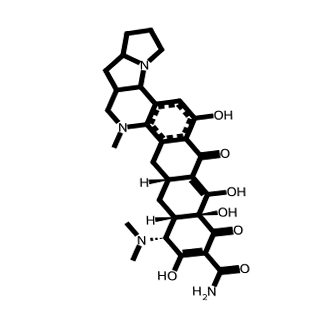 CN1CC2CC3CCCN3C2c2cc(O)c3c(c21)C[C@H]1C[C@H]2[C@@H](N(C)C)C(O)=C(C(N)=O)C(=O)[C@@]2(O)C(O)=C1C3=O